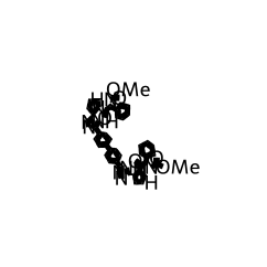 COC(=O)N[C@@H](C(=O)N1CCC[C@H]1c1nnc(-c2ccc(-c3ccc(-c4nnc([C@@H]5CCCN5C(=O)[C@H](NC(=O)OC)c5ccccc5)[nH]4)cc3)cc2)[nH]1)c1ccccc1